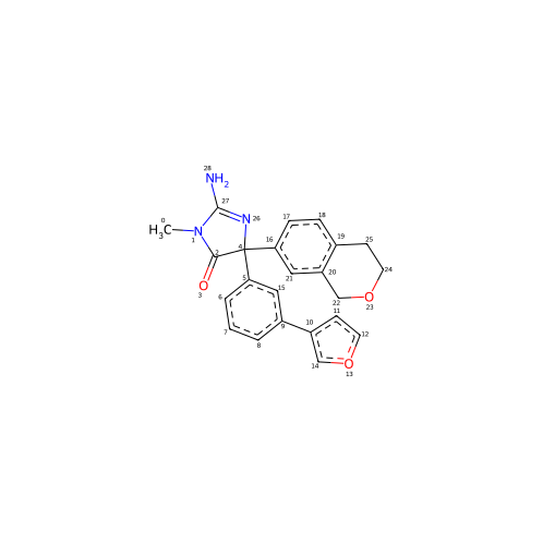 CN1C(=O)C(c2cccc(-c3ccoc3)c2)(c2ccc3c(c2)COCC3)N=C1N